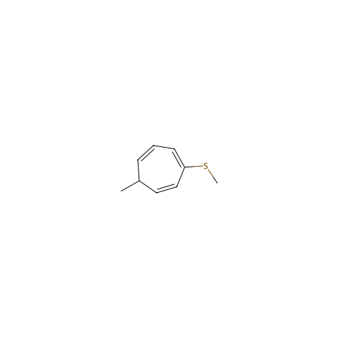 CSC1=CC=CC(C)C=C1